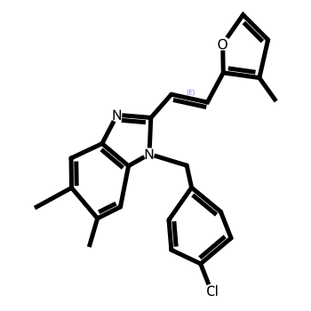 Cc1cc2nc(/C=C/c3occc3C)n(Cc3ccc(Cl)cc3)c2cc1C